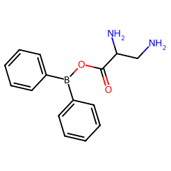 NCC(N)C(=O)OB(c1ccccc1)c1ccccc1